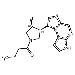 CC[C@@H]1CN(C(=O)CCC(F)(F)F)C[C@@H]1c1cnc2cnc3[nH]ccc3n12